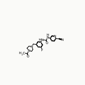 CC(=O)N1CCN(Cc2cc(F)cc(NC(=O)Nc3ccc(C#N)nc3)c2)CC1